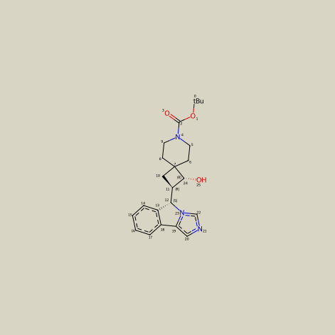 CC(C)(C)OC(=O)N1CCC2(CC1)C[C@H]([C@H]1c3ccccc3-c3cncn31)[C@H]2O